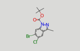 Cc1nn(C(=O)OC(C)(C)C)c2cc(Br)c(Cl)cc12